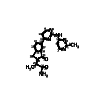 Cc1nccc(Nc2nccc(-c3ccc4c(c3)C(=O)N(C(C)C(N)=O)C4)n2)n1